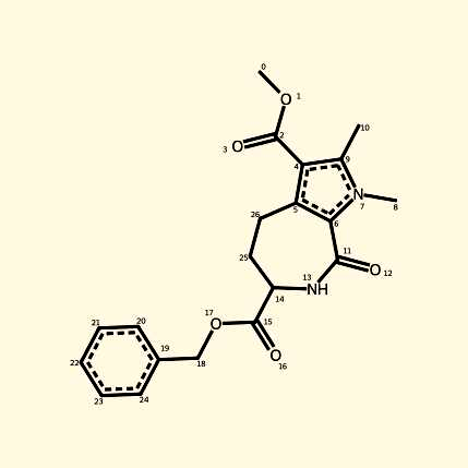 COC(=O)c1c2c(n(C)c1C)C(=O)NC(C(=O)OCc1ccccc1)CC2